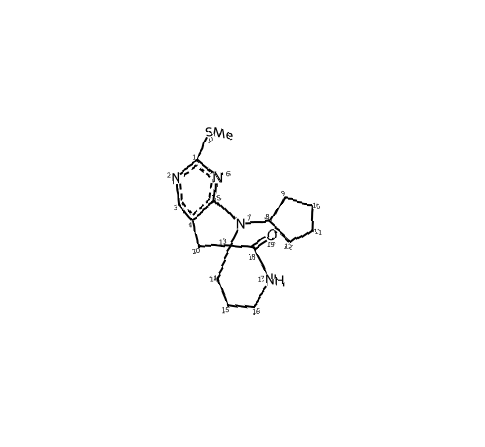 CSc1ncc2c(n1)N(C1CCCC1)C1(CCCNC1=O)C2